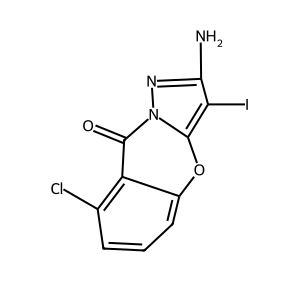 Nc1nn2c(=O)c3c(Cl)cccc3oc2c1I